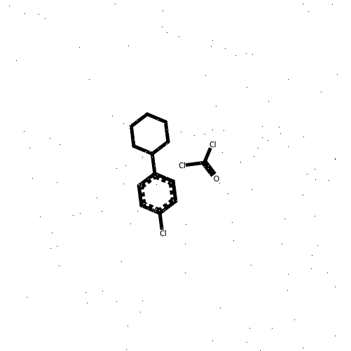 Clc1ccc(C2CCCCC2)cc1.O=C(Cl)Cl